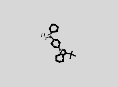 CC(C)(C)c1cn(-c2ccc([SiH2]c3ccccc3)cc2)c2ccccc12